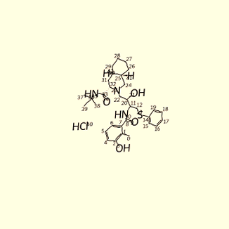 Cc1c(O)cccc1C(=O)NC(CSc1ccccc1)C(O)CN1C[C@H]2CCCC[C@H]2C[C@H]1C(=O)NC(C)(C)C.Cl